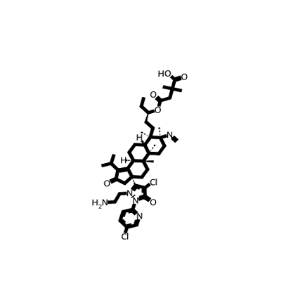 C=N[C@@]1(C)CC[C@]2(C)[C@H](CC[C@@H]3C4=C(C(C)C)C(=O)C[C@]4(c4c(Cl)c(=O)n(-c5ccc(Cl)cn5)n4CCN)CC[C@]32C)[C@@]1(C)CC[C@@H](CC)OC(=O)CC(C)(C)C(=O)O